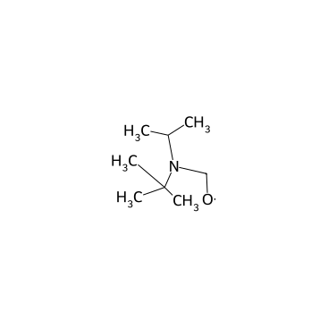 CC(C)N(C[O])C(C)(C)C